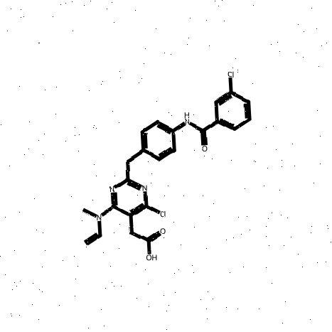 C=CN(C)c1nc(Cc2ccc(NC(=O)c3cccc(Cl)c3)cc2)nc(Cl)c1CC(=O)O